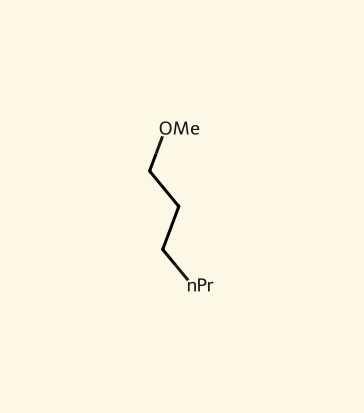 C[CH]CCCCOC